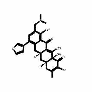 CC(=O)C1=C(C)C[C@@H]2C[C@@H]3Cc4c(-c5ccoc5)cc(CN(C)C)c(O)c4C(=O)C3=C(O)[C@]2(O)C1=O